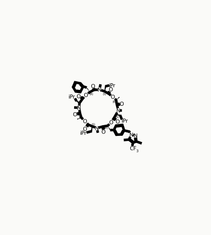 Cc1nn(Cc2ccc(C[C@H]3OC(=O)[C@H](CC(C)C)N(C)C(=O)[C@@H](C)OC(=O)[C@H](CC(C)C)N(C)C(=O)[C@@H](Cc4ccccc4)OC(=O)[C@H](CC(C)C)N(C)C(=O)[C@@H](C)OC(=O)[C@H](CC(C)C)N(C)C3=O)cc2)c(C)c1C(F)(F)F